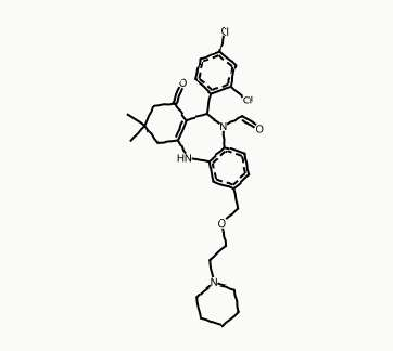 CC1(C)CC(=O)C2=C(C1)Nc1cc(COCCN3CCCCC3)ccc1N(C=O)C2c1ccc(Cl)cc1Cl